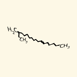 C=C(CC)CCCCCCCCC=CCCCCCC